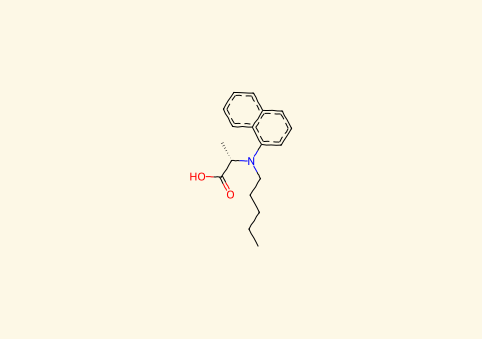 CCCCCN(c1cccc2ccccc12)[C@@H](C)C(=O)O